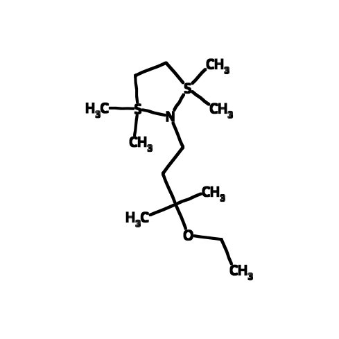 CCOC(C)(C)CCN1S(C)(C)CCS1(C)C